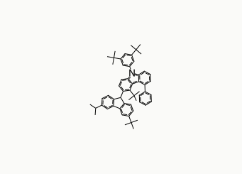 CC(C)c1ccc2c(c1)-c1cc(C(C)(C)C)ccc1C2c1ccc2c(c1C(C)(C)C)c1c(-c3ccccc3)cccc1n2-c1cc(C(C)(C)C)cc(C(C)(C)C)c1